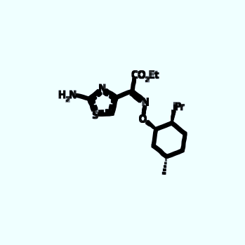 CCOC(=O)/C(=N/O[C@@H]1C[C@@H](C)CC[C@@H]1C(C)C)c1csc(N)n1